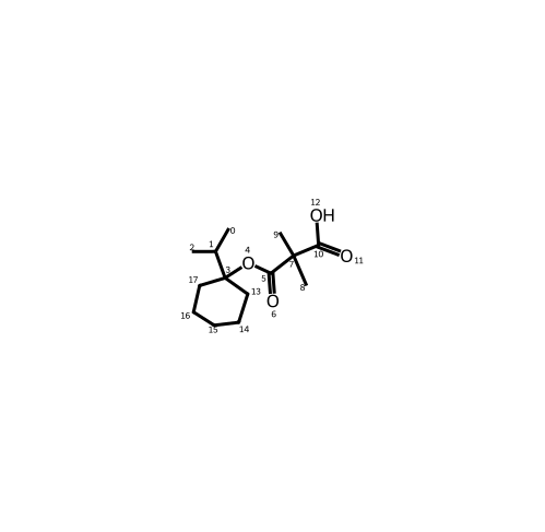 CC(C)C1(OC(=O)C(C)(C)C(=O)O)CCCCC1